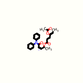 CC=C(C=CC(=O)O[C@H](C)/C=C\C(=O)N(c1ccccc1)c1ccccc1)OC(C)=O